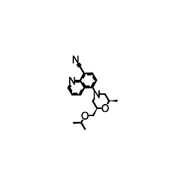 CC(C)OC[C@H]1CN(c2ccc(C#N)c3ncccc23)C[C@@H](C)O1